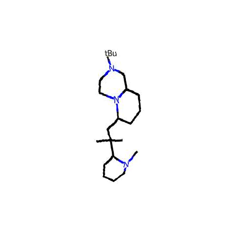 CN1CCCCC1C(C)(C)CC1CCCC2CN(C(C)(C)C)CCN21